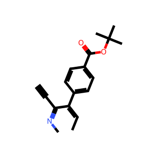 C#CC(=N/C)/C(=C\C)c1ccc(C(=O)OC(C)(C)C)cc1